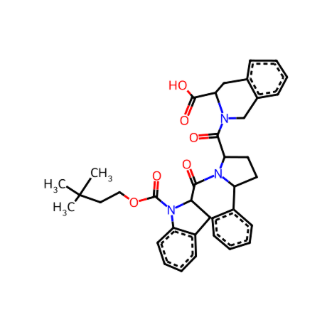 CC(C)(C)CCOC(=O)N1c2ccccc2CC1C(=O)N1C(C(=O)N2Cc3ccccc3CC2C(=O)O)CCC1c1ccccc1